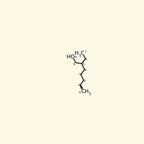 C=CCCCC(CC)CO